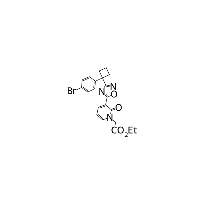 CCOC(=O)Cn1cccc(-c2nc(C3(c4ccc(Br)cc4)CCC3)no2)c1=O